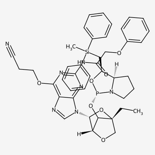 CC[C@@]12CO[C@@H](C1O[P@]1O[C@@H](C[Si](C)(c3ccccc3)c3ccccc3)[C@H]3CCCN31)[C@H](n1cnc3c(OCCC#N)nc(NC(=O)COc4ccccc4)nc31)O2